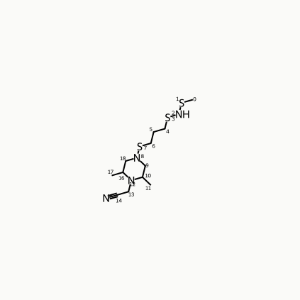 CSNSCCCSN1CC(C)N(CC#N)C(C)C1